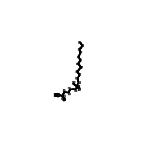 CCCCCCCCCCCC[N+](C)(C)CCCCC(=O)O